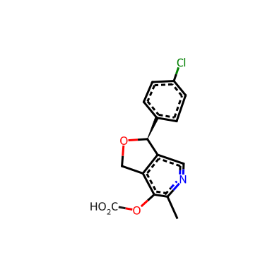 Cc1ncc2c(c1OC(=O)O)CO[C@H]2c1ccc(Cl)cc1